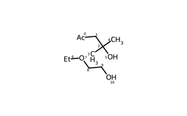 CC(=O)CC(C)(C)O.CCOCCO